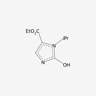 CCOC(=O)c1cnc(O)n1C(C)C